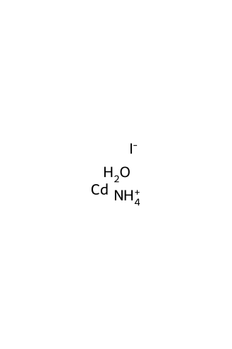 O.[Cd].[I-].[NH4+]